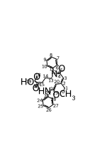 CCC(=Cc1oc2ccccc2[n+]1CCCS(=O)(=O)O)C=C1Nc2ccccc2O1